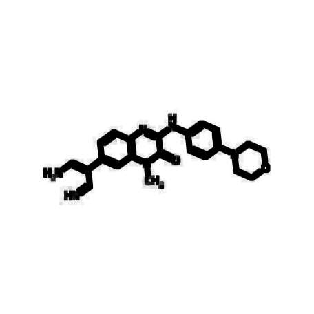 Cn1c(=O)c(Nc2ccc(N3CCOCC3)cc2)nc2ccc(/C(C=N)=C/N)cc21